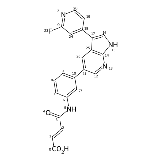 O=C(O)/C=C/C(=O)Nc1cccc(-c2cnc3[nH]cc(-c4ccnc(F)c4)c3c2)c1